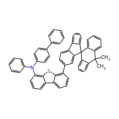 CC1(C)c2ccccc2C2(c3ccccc3-c3ccc(-c4cccc5c4sc4c(N(c6ccccc6)c6ccc(-c7ccccc7)cc6)cccc45)cc32)c2ccccc21